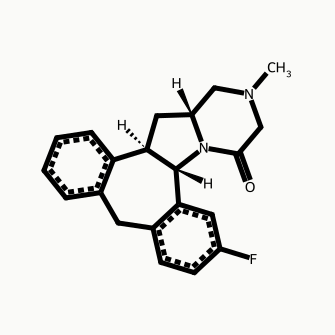 CN1CC(=O)N2[C@H](C[C@@H]3c4ccccc4Cc4ccc(F)cc4[C@H]32)C1